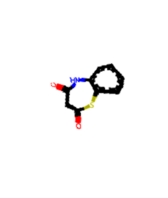 O=C1CC(=O)Sc2ccccc2N1